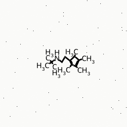 CC1=C(C)C(C)C(CCNC(C)(C)C)=C1C